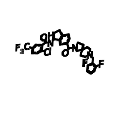 O=C(NC1CCc2ccc(C(=O)N3CCC4(CCN(Cc5c(F)cccc5F)CC4)C3)cc21)c1cc(C(F)(F)F)ccc1Cl